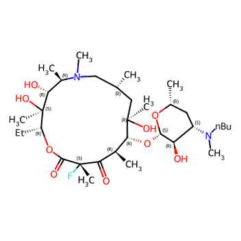 CCCCN(C)[C@H]1C[C@@H](C)O[C@@H](O[C@@H]2[C@@H](C)C(=O)[C@](C)(F)C(=O)O[C@H](CC)[C@@](C)(O)[C@H](O)[C@@H](C)N(C)C[C@H](C)C[C@@]2(C)O)[C@@H]1O